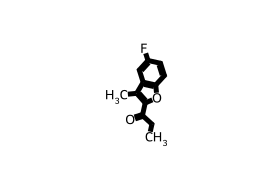 CCC(=O)c1oc2ccc(F)cc2c1C